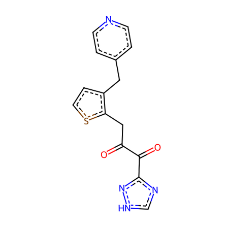 O=C(Cc1sccc1Cc1ccncc1)C(=O)c1nc[nH]n1